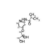 CC(C)C(=O)Nc1cc(OC[C@@H](O)CO)ccn1